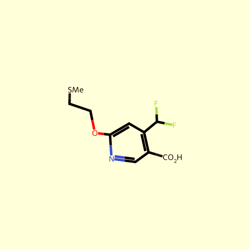 CSCCOc1cc(C(F)F)c(C(=O)O)cn1